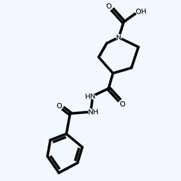 O=C(NNC(=O)C1CCN(C(=O)O)CC1)c1ccccc1